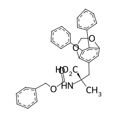 C[C@@](Cc1cc2c(-c3ccccc3)c(-c3ccccc3)c1OCO2)(NC(=O)OCc1ccccc1)C(=O)O